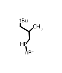 CCCPCC(C)CC(C)(C)C